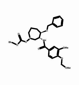 COCOc1ccc(C(=O)N[C@@H]2CN(OC(=O)OC(C)(C)C)CCC[C@H]2OCc2ccccc2)cc1OC